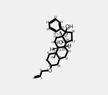 C=CCOC1CC[C@@]2(C)C(CC[C@@H]3[C@H]2CC[C@]2(C)C(O)(c4ccccc4)CC[C@@]32O)C1